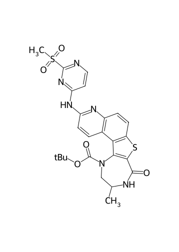 CC1CN(C(=O)OC(C)(C)C)c2c(sc3ccc4nc(Nc5ccnc(S(C)(=O)=O)n5)ccc4c23)C(=O)N1